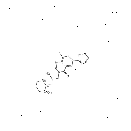 Cc1cc(-c2cccnc2)cc2c(=O)n(CC(O)C[C@H]3NCCC[C@@H]3O)cnc12